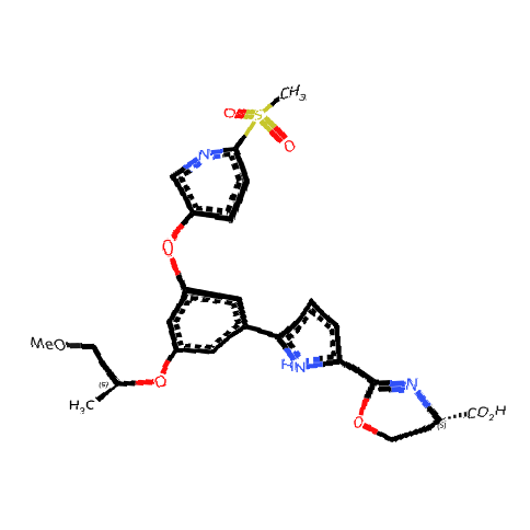 COC[C@H](C)Oc1cc(Oc2ccc(S(C)(=O)=O)nc2)cc(-c2ccc(C3=N[C@H](C(=O)O)CO3)[nH]2)c1